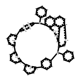 c1ccc(N2c3ccc(cc3)-c3cccc(c3)-c3cccc(c3)-c3cccc(c3)-c3ccc(cc3)N(c3ccccc3)c3ccc4ccc5ccc2c2ccc3c4c52)cc1